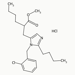 CCCCc1ncc(CC(CCCC)C(=O)OC)n1Cc1ccccc1Cl.Cl